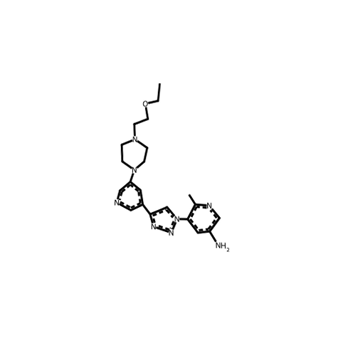 CCOCCN1CCN(c2cncc(-c3cn(-c4cc(N)cnc4C)nn3)c2)CC1